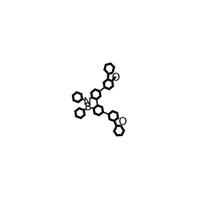 c1ccc(B2c3ccc(-c4ccc5oc6ccccc6c5c4)cc3-c3cc(-c4ccc5oc6ccccc6c5c4)ccc3N2c2ccccc2)cc1